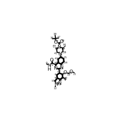 CNC(=O)c1nc(-c2cc3cn(C)nc3c(F)c2OCOC)nc2ccc(N3C[C@H](C)N(C(=O)OC(C)(C)C)[C@@H](C)C3)cc12